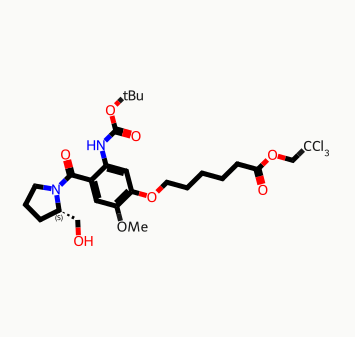 COc1cc(C(=O)N2CCC[C@H]2CO)c(NC(=O)OC(C)(C)C)cc1OCCCCCC(=O)OCC(Cl)(Cl)Cl